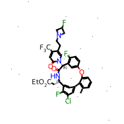 CCOC(=O)C[C@@H]1NC(=O)[C@H](n2cc(CCN3CC(F)C3)c(C(F)(F)F)cc2=O)c2cc(ccc2F)Oc2cccc(C)c2-c2cc(Cl)c(F)c1c2